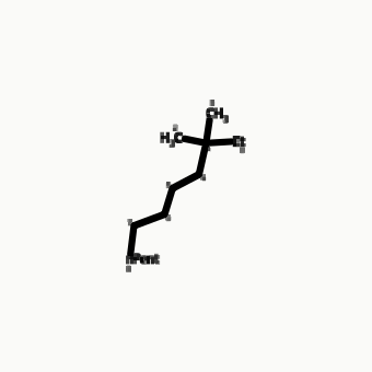 [CH2]CC(C)(C)CCCCCCCCC